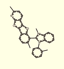 Cc1ccc2c(n1)oc1c3ccc(C)c(-c4n(-c5ccccc5C)c5ccccc5[n+]4C)c3oc21